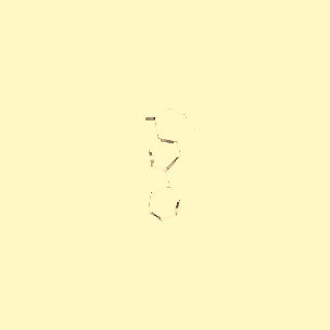 O=C1CCOc2cc3c(cc21)OC1C=CC=CC31